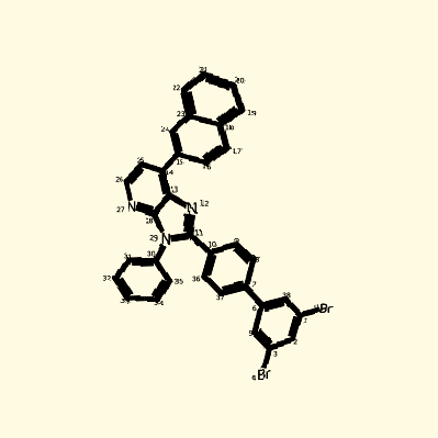 Brc1cc(Br)cc(-c2ccc(-c3nc4c(-c5ccc6ccccc6c5)ccnc4n3-c3ccccc3)cc2)c1